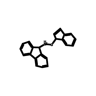 C1=CC(O[SiH2]C2c3ccccc3-c3ccccc32)c2ccccc21